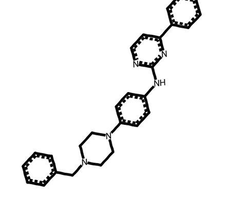 CC(=O)Nc1ccc(-c2ccnc(Nc3ccc(N4CCN(Cc5ccccc5)CC4)cc3)n2)cc1